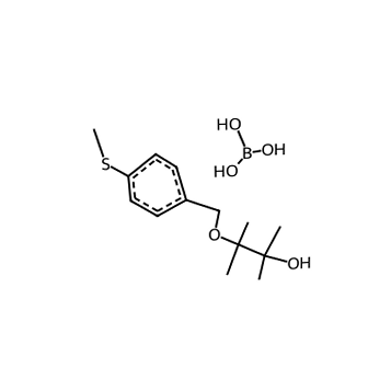 CSc1ccc(COC(C)(C)C(C)(C)O)cc1.OB(O)O